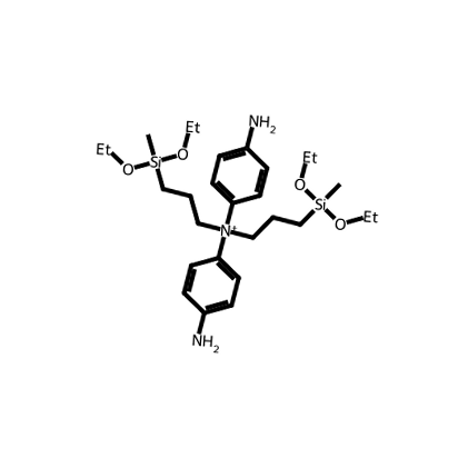 CCO[Si](C)(CCC[N+](CCC[Si](C)(OCC)OCC)(c1ccc(N)cc1)c1ccc(N)cc1)OCC